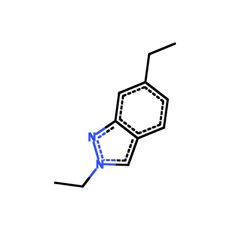 CCc1ccc2cn(CC)nc2c1